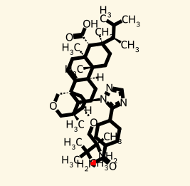 CC(C)[C@@H](C)[C@@]1(C)CC[C@]2(C)[C@H]3CC[C@@H]4[C@@]5(COC[C@@]4(C)[C@@H](OC[C@](C)(N)C(C)(C)C)[C@H](n4ncnc4C4CCC(C(N)=O)CC4)C5)C3=CC[C@@]2(C)[C@@H]1C(=O)O